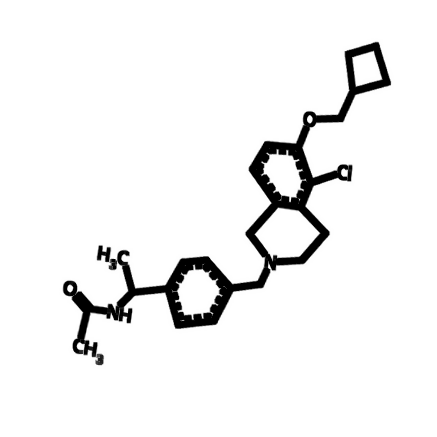 CC(=O)NC(C)c1ccc(CN2CCc3c(ccc(OCC4CCC4)c3Cl)C2)cc1